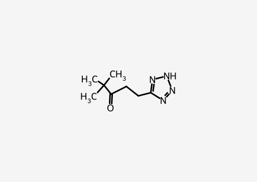 CC(C)(C)C(=O)CCc1nn[nH]n1